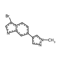 Cn1cc(-c2ccn3c(Br)cnc3c2)cn1